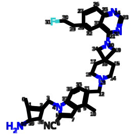 CC1=C(Cn2c(C#N)cc3c(C)c(CN4CCC5(CC4)CN(c4ncnc6ccc(CCF)cc46)C5)ccc32)CC1N